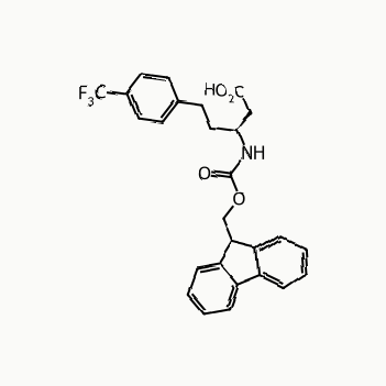 O=C(O)C[C@H](CCc1ccc(C(F)(F)F)cc1)NC(=O)OCC1c2ccccc2-c2ccccc21